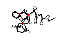 CCOC(=O)CNC(=O)c1nc2ccccc2n([C@H]2C[C@H]3CC[C@@H](C2)N3C2CCCCCCC2)c1=O